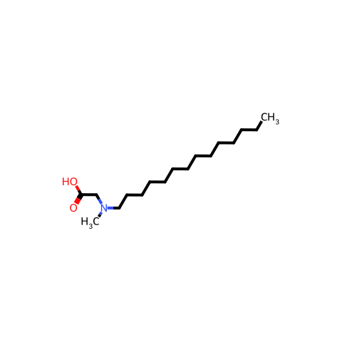 CCCCCCCCCCCCCCN(C)CC(=O)O